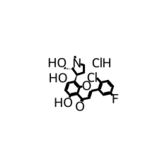 CN1CC[C@@H](c2c(O)cc(O)c3c(=O)cc(-c4cc(F)ccc4Cl)oc23)[C@@H]1CO.Cl